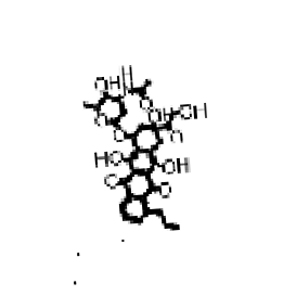 CCCc1cccc2c1C(=O)c1c(O)c3c(c(O)c1C2=O)C(OC1CC(NC(C)=O)C(O)C(C)O1)CC(O)(C(=O)CO)C3